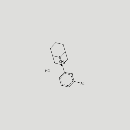 CC(=O)c1cccc(N2CC3CCCC(C2)N3C)n1.Cl